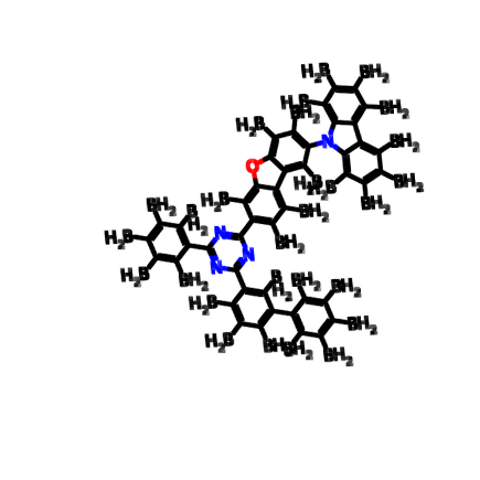 Bc1c(B)c(B)c(-c2nc(-c3c(B)c(B)c(B)c(-c4c(B)c(B)c(B)c(B)c4B)c3B)nc(-c3c(B)c(B)c4c(oc5c(B)c(B)c(-n6c7c(B)c(B)c(B)c(B)c7c7c(B)c(B)c(B)c(B)c76)c(B)c54)c3B)n2)c(B)c1B